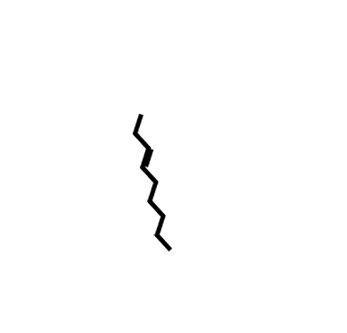 C[CH]CCC/C=C/CC